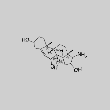 C[C@]12CCC(O)CC1=CC(O)[C@@H]1[C@H]2CC[C@]2(C)C(N)C(O)C[C@@H]12